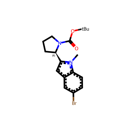 Cn1c([C@H]2CCCN2C(=O)OC(C)(C)C)cc2cc(Br)ccc21